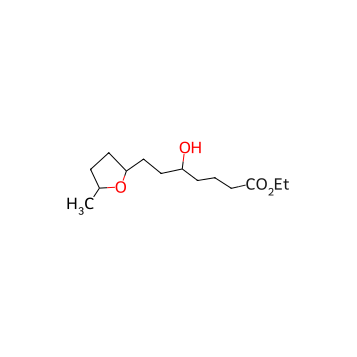 CCOC(=O)CCCC(O)CCC1CCC(C)O1